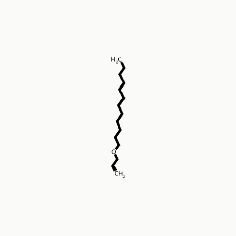 C=CCO[CH]CCCCCCCCCCC